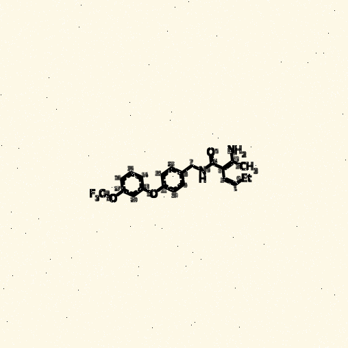 CC/C=C\C(C(=O)NCc1ccc(Oc2cccc(OC(F)(F)F)c2)cc1)=C(/C)N